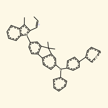 C/C=C\c1c(C)c2ccccc2n1-c1ccc2c(c1)C(C)(C)c1cc(N(c3ccccc3)c3ccc(-c4ccccc4)cc3)ccc1-2